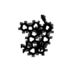 N#Cc1ccccc1-c1ccc2c3ccccc3n(-c3ccc(-c4c(C(F)(F)F)cccc4C(F)(F)F)c(-n4c5ccccc5c5ccc(-c6ccccc6C#N)cc54)c3C#N)c2c1